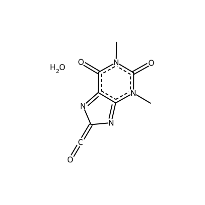 Cn1c(=O)c2c(n(C)c1=O)=NC(=C=O)N=2.O